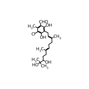 C/C(=C\Cc1c(O)c(Cl)c(C)c(C=O)c1O)CC/C=C(\C)CCC(O)C(C)(C)O